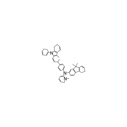 Cc1c2c(n(C3=CC=CCC3)c1/C=C\C(C)c1ccc(N(C3=CC=CCN3C)c3ccc4c(c3)C(C)(C)C3=C4CCC=C3)cc1)CCC=C2